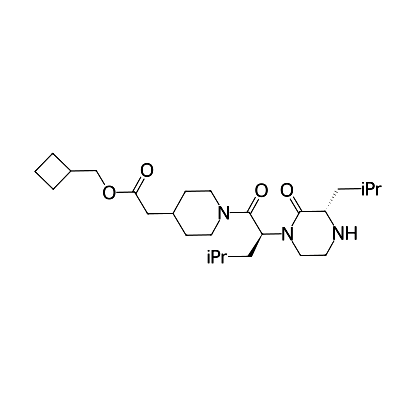 CC(C)C[C@@H]1NCCN([C@@H](CC(C)C)C(=O)N2CCC(CC(=O)OCC3CCC3)CC2)C1=O